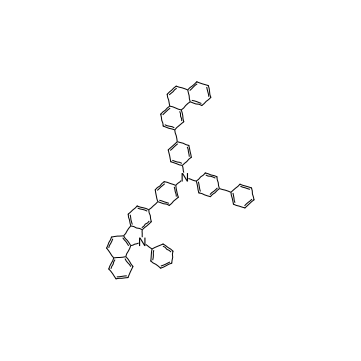 c1ccc(-c2ccc(N(c3ccc(-c4ccc5ccc6ccccc6c5c4)cc3)c3ccc(-c4ccc5c6ccc7ccccc7c6n(-c6ccccc6)c5c4)cc3)cc2)cc1